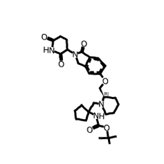 CC(C)(C)OC(=O)NC1(CN2CCCC[C@@H]2COc2ccc3c(c2)CN(C2CCC(=O)NC2=O)C3=O)CCCC1